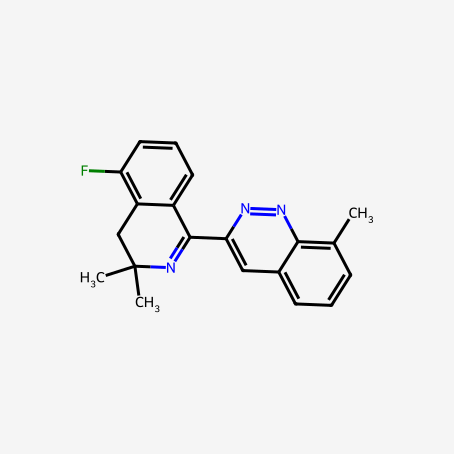 Cc1cccc2cc(C3=NC(C)(C)Cc4c(F)cccc43)nnc12